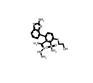 NN/N=C(\N)c1c(-c2cccc3sc(N)nc23)ccc(SCCO)c1S(N)(=O)=O